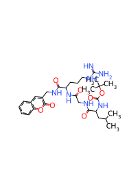 CC(C)CC(NC(=O)OC(C)(C)C)C(=O)NCC(=O)NC(CCCNC(=N)N)C(=O)NCc1cc2ccccc2oc1=O